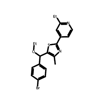 CCOC(c1ccc(Br)cc1)c1sc(-c2ccnc(CC)c2)nc1C